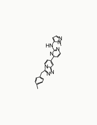 Cc1ccc(Cc2nnc3cc(-c4ccnc(Nc5ccnn5C)n4)ccn23)cc1